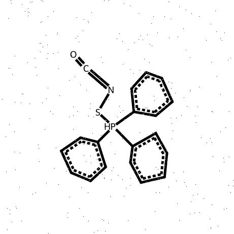 O=C=NS[PH](c1ccccc1)(c1ccccc1)c1ccccc1